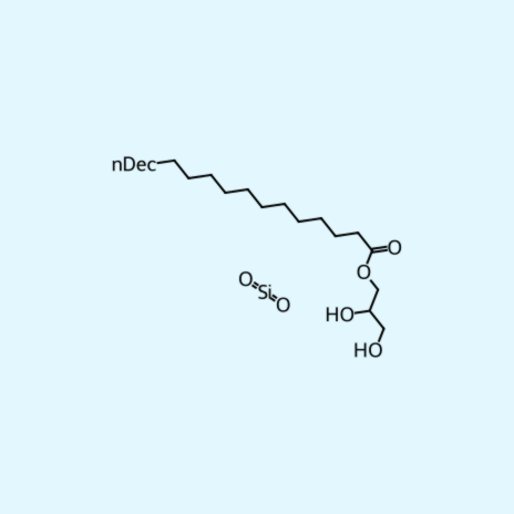 CCCCCCCCCCCCCCCCCCCCCC(=O)OCC(O)CO.O=[Si]=O